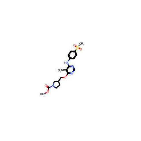 CC(C)(C)OC(=O)N1CCC(COc2ncnc(Nc3ccc(S(C)(=O)=O)cc3)c2[N+](=O)[O-])C1